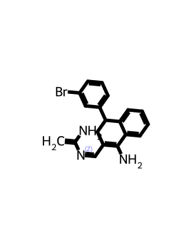 C=C(N)/N=C\C1=C(N)c2ccccc2C(c2cccc(Br)c2)C1